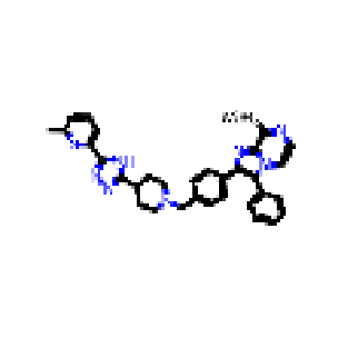 COc1nccn2c(-c3ccccc3)c(-c3ccc(CN4CCC(c5nnc(-c6cccc(C)n6)[nH]5)CC4)cc3)nc12